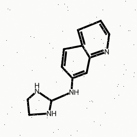 c1cnc2cc(NC3NCCN3)ccc2c1